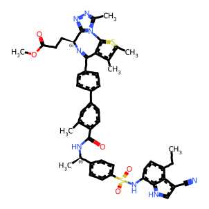 CCc1ccc(NS(=O)(=O)c2ccc([C@@H](C)NC(=O)c3ccc(-c4ccc(C5=N[C@@H](CCC(=O)OC)c6nnc(C)n6-c6sc(C)c(C)c65)cc4)cc3C)cc2)c2[nH]cc(C#N)c12